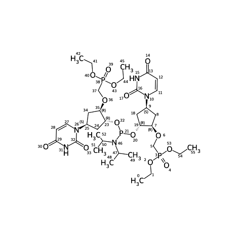 CCOP(=O)(CO[C@@H]1C[C@H](n2ccc(=O)[nH]c2=O)C[C@H]1OP(O[C@@H]1C[C@@H](n2ccc(=O)[nH]c2=O)C[C@H]1OCP(=O)(OCC)OCC)N(C(C)C)C(C)C)OCC